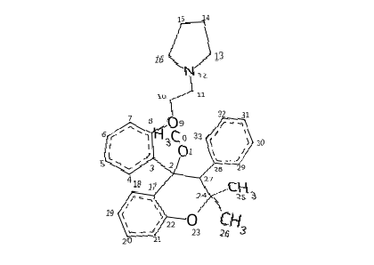 COC1(c2ccccc2OCCN2CCCC2)c2ccccc2OC(C)(C)C1c1ccccc1